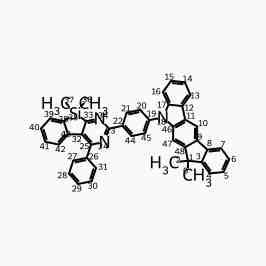 CC1(C)c2ccccc2-c2cc3c4ccccc4n(-c4ccc(-c5nc(-c6ccccc6)c6c(n5)[Si](C)(C)c5ccccc5-6)cc4)c3cc21